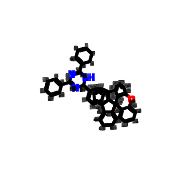 C1=CCCC(C2=NC(c3ccccc3)=NC(c3cccc(-c4cccc5c4C4(c6ccccc6O5)c5ccccc5-c5ccccc54)c3)N2)=C1